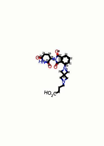 O=C(O)CCCN1CC2(C1)CN(c1cccc3c1C(=O)N(C1CCC(=O)NC1=O)C3=O)C2